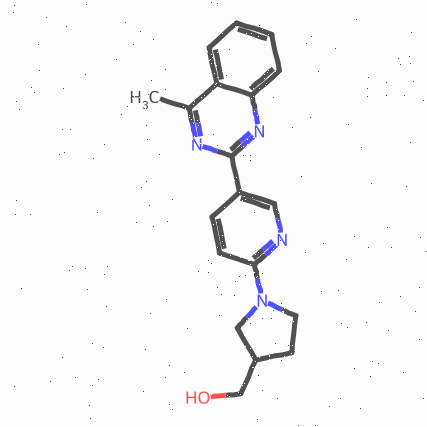 Cc1nc(-c2ccc(N3CCC(CO)C3)nc2)nc2ccccc12